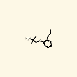 CCOc1cccnc1OCC(C)(C)N